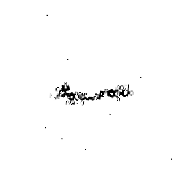 COc1cc(-c2cn(C)c(=O)c3cnccc23)cc(OC)c1CN(C)C(=O)CCCCN1CC2(CC(Oc3ccc4c(c3)C(=O)N(C3CCC(=O)NC3=O)C4=O)C2)C1